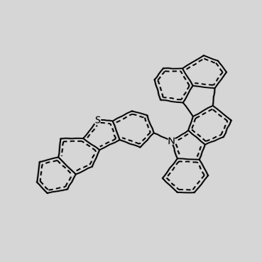 c1ccc2cc3c(cc2c1)sc1ccc(-n2c4ccccc4c4ccc5c(c42)-c2cccc4cccc-5c24)cc13